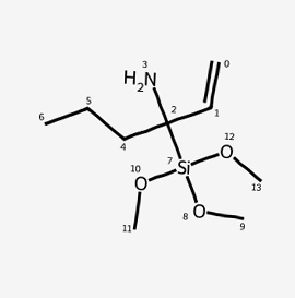 C=CC(N)(CCC)[Si](OC)(OC)OC